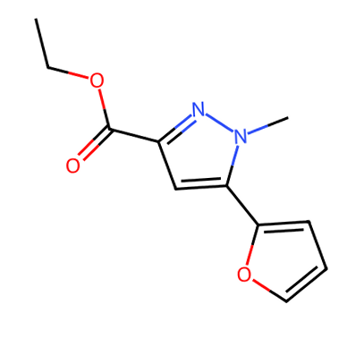 CCOC(=O)c1cc(-c2ccco2)n(C)n1